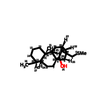 CSC[C@H]1[C@H]2CC[C@@]3(CC[C@H]4[C@@](C)(CCC[C@@]4(C)C(C)=O)[C@@H]3C2)[C@@H]1O